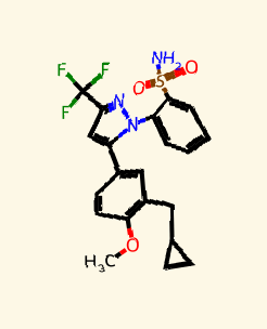 COc1ccc(-c2cc(C(F)(F)F)nn2-c2ccccc2S(N)(=O)=O)cc1CC1CC1